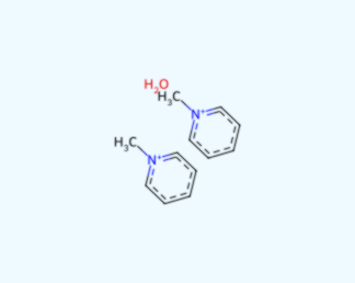 C[n+]1ccccc1.C[n+]1ccccc1.O